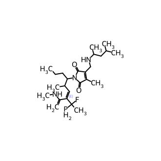 C=C(NC)/C(=C\C(C)C(CCC)N1C(=O)C(C)=C(CNC(C)CC(C)C)C1=O)C(C)(F)P